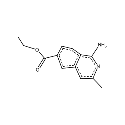 CCOC(=O)c1ccc2c(N)nc(C)cc2c1